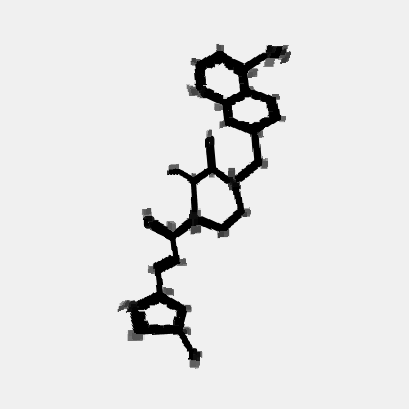 CC1C(=O)N(Cc2ccc3c(N)ccnc3c2)CCN1C(=O)C=Cc1cc(Br)cs1